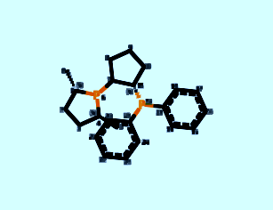 C[C@H]1CC[C@H](C)P1C1CCC[C@@H]1P(c1ccccc1)c1ccccc1